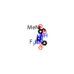 CNC(=O)c1ccc(Nc2ncc(C(F)(F)F)c(Nc3ccccc3P(C)(C)=O)n2)c2c1CCO2